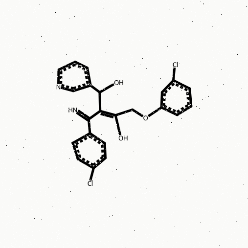 N=C(/C(=C(\O)COc1cccc(Cl)c1)C(O)c1cccnc1)c1ccc(Cl)cc1